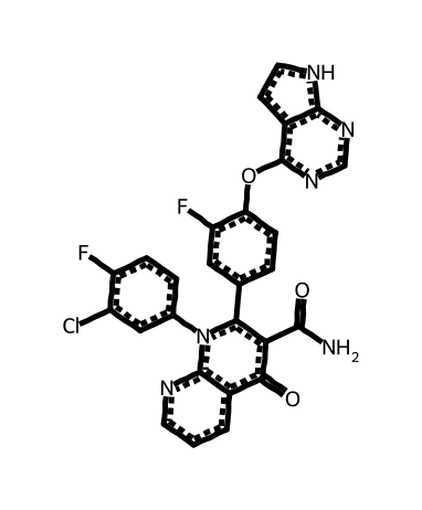 NC(=O)c1c(-c2ccc(Oc3ncnc4[nH]ccc34)c(F)c2)n(-c2ccc(F)c(Cl)c2)c2ncccc2c1=O